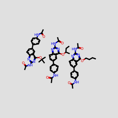 CC(=O)Nc1ccc(-c2ccc3nc(NC(C)=O)nc(OC(C)(C)C)c3c2)cc1.CCC(C)Oc1nc(NC(C)=O)nc2ccc(-c3ccc(NC(C)=O)cc3)cc12.CCCCOc1nc(NC(C)=O)nc2ccc(-c3ccc(NC(C)=O)cc3)cc12